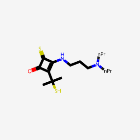 CCCN(CCC)CCCNc1c(C(C)(C)S)c(=O)c1=S